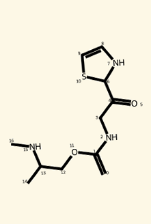 C=C(NCC(=O)C1NC=CS1)OCC(C)NC